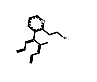 C=C/C=C(C)\C(=C/C=C)c1cccnc1CCN